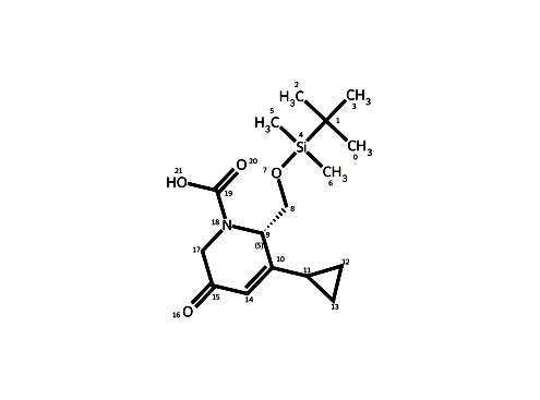 CC(C)(C)[Si](C)(C)OC[C@@H]1C(C2CC2)=CC(=O)CN1C(=O)O